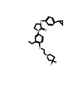 CCc1cc(N2CC[C@H](Oc3ccc(C4CC4)cc3)C2=O)ccc1OCCN1CCC(F)(F)C1